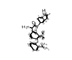 C=C(C(=O)Nc1ccc2[nH]ccc2c1)c1ccc(Sc2ccccc2C(C)C)c([N+](=O)[O-])c1